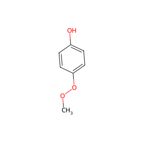 COOc1ccc(O)cc1